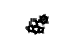 OC(c1c2c(cc3cn[nH]c13)CC2)C12CCC(CC1)CC2